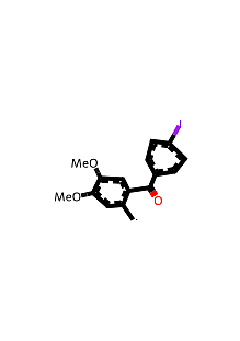 [CH2]c1cc(OC)c(OC)cc1C(=O)c1ccc(I)cc1